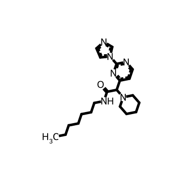 CCCCCCCNC(=O)C(c1ccnc(-n2ccnc2)n1)N1CCCCC1